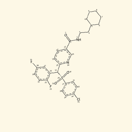 O=C(NCCC1CCCCC1)c1ccc(C(c2cc(F)ccc2F)S(=O)(=O)c2ccc(Cl)cc2)nc1